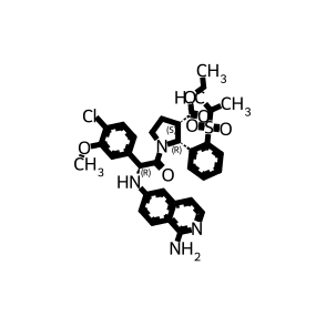 CCOC(=O)[C@H]1CCN(C(=O)[C@H](Nc2ccc3c(N)nccc3c2)c2ccc(Cl)c(OC)c2)[C@H]1c1ccccc1S(=O)(=O)C(C)C